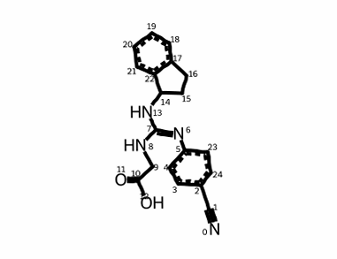 N#Cc1ccc(N=C(NCC(=O)O)NC2CCc3ccccc32)cc1